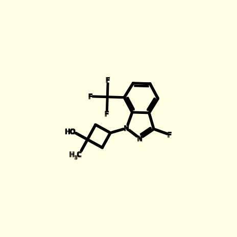 CC1(O)CC(n2nc(F)c3cccc(C(F)(F)F)c32)C1